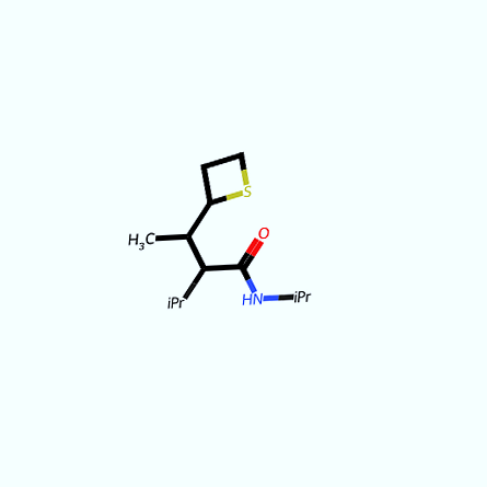 CC(C)NC(=O)C(C(C)C)C(C)C1CCS1